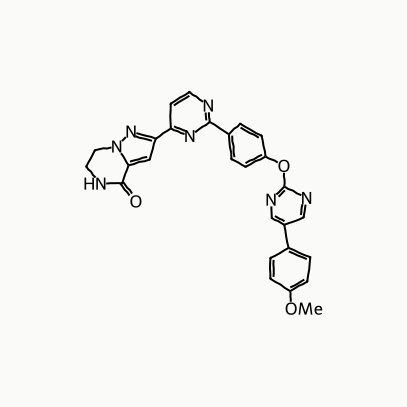 COc1ccc(-c2cnc(Oc3ccc(-c4nccc(-c5cc6n(n5)CCNC6=O)n4)cc3)nc2)cc1